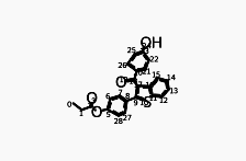 CCC(=O)Oc1ccc(-c2sc3ccccc3c2C(=O)c2ccc(O)cc2)cc1